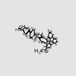 CNc1ccc(-c2ccc(NC(=O)c3ccc(C4(c5ccc(C(C)=O)cc5)c5ccccc5-c5ccccc54)cc3)cc2)cc1